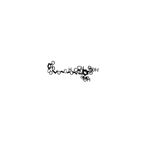 CC(C)(C)N(CCOCCOCCOCCC(=O)ON1C(=O)CCC1=O)Cc1ccc(S(=O)(=O)O)cc1S(=O)(=O)O